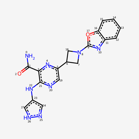 NC(=O)c1nc(C2CN(c3nc4ccccc4o3)C2)cnc1Nc1cn[nH]c1